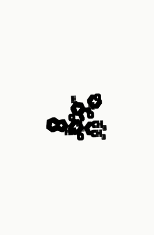 CCC(CC)[C@@H]1C(=O)N[C@H](C2Cc3ccccc3C2)C(=O)N1Cc1ccc(F)cc1C(=O)N1CCOCC1